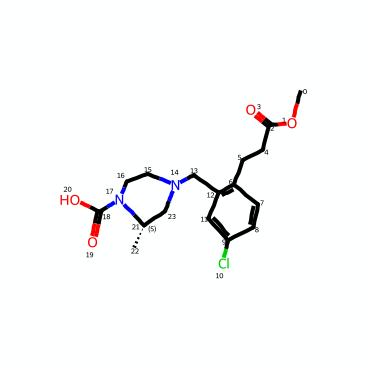 COC(=O)CCc1ccc(Cl)cc1CN1CCN(C(=O)O)[C@@H](C)C1